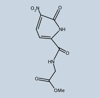 COC(=O)CNC(=O)c1ccc([N+](=O)[O-])c(=O)[nH]1